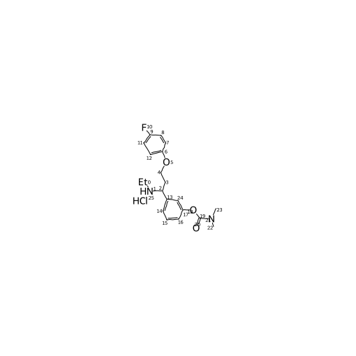 CCNC(CCOc1ccc(F)cc1)c1cccc(OC(=O)N(C)C)c1.Cl